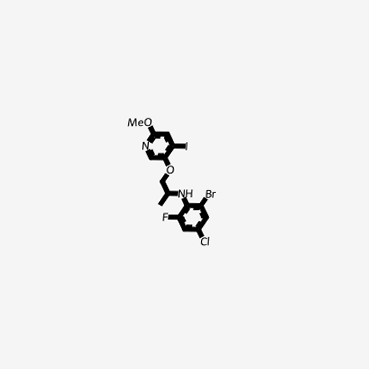 COc1cc(I)c(OCC(C)Nc2c(F)cc(Cl)cc2Br)cn1